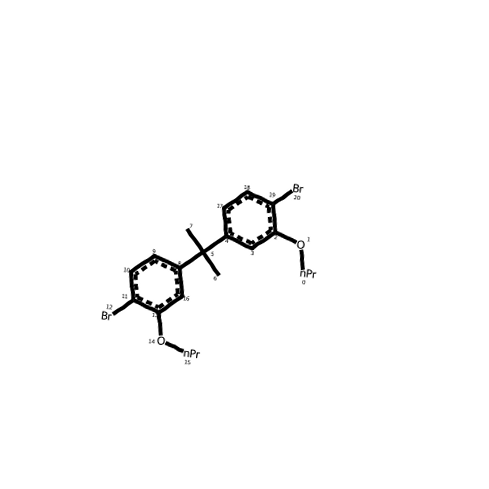 CCCOc1cc(C(C)(C)c2ccc(Br)c(OCCC)c2)ccc1Br